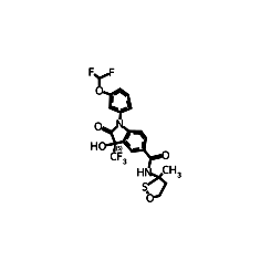 CC1(NC(=O)c2ccc3c(c2)[C@@](O)(C(F)(F)F)C(=O)N3c2cccc(OC(F)F)c2)CCOS1